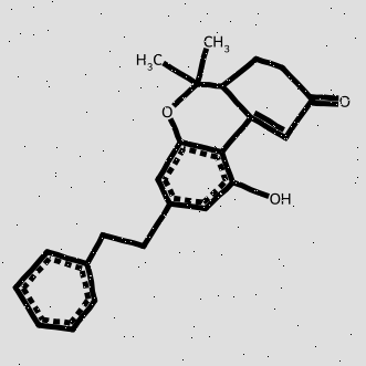 CC1(C)Oc2cc(CCc3ccccc3)cc(O)c2C2=CC(=O)CCC21